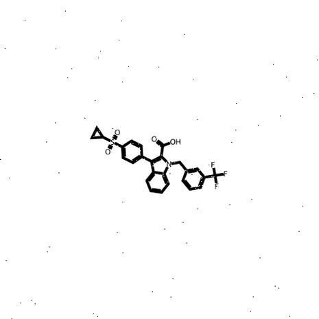 O=C(O)c1c(-c2ccc(S(=O)(=O)C3CC3)cc2)c2ccccc2n1Cc1cccc(C(F)(F)F)c1